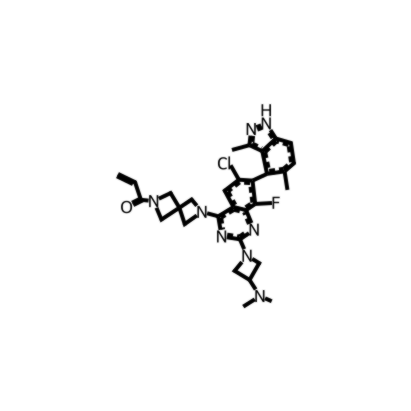 C=CC(=O)N1CC2(C1)CN(c1nc(N3CC(N(C)C)C3)nc3c(F)c(-c4c(C)ccc5[nH]nc(C)c45)c(Cl)cc13)C2